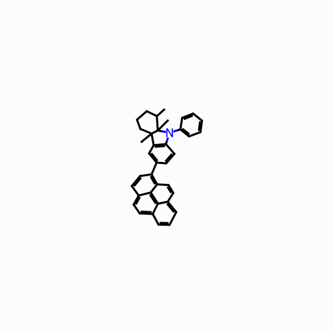 CC1CCCC2(C)c3cc(-c4ccc5ccc6cccc7ccc4c5c67)ccc3N(c3ccccc3)C12C